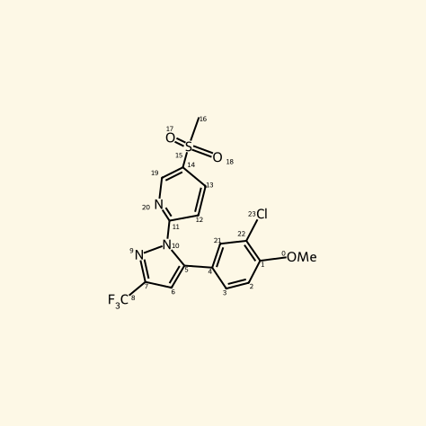 COc1ccc(-c2cc(C(F)(F)F)nn2-c2ccc(S(C)(=O)=O)cn2)cc1Cl